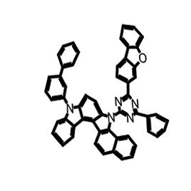 c1ccc(-c2cccc(-n3c4ccccc4c4c5c6ccc7ccccc7c6n(-c6nc(-c7ccccc7)nc(-c7ccc8c(c7)oc7ccccc78)n6)c5ccc43)c2)cc1